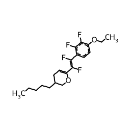 CCCCCC1CC=C(/C(F)=C(\F)c2ccc(OCC)c(F)c2F)OC1